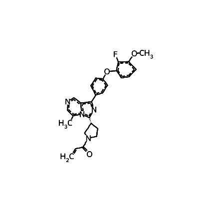 C=CC(=O)N1CC[C@@H](c2nc(-c3ccc(Oc4cccc(OC)c4F)cc3)c3cncc(C)n23)C1